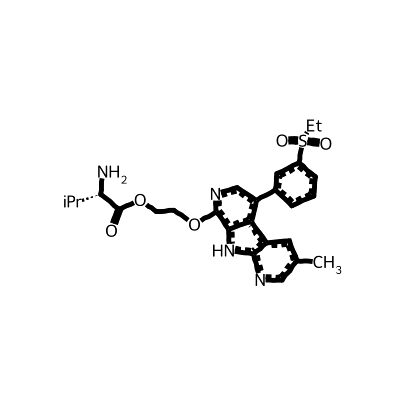 CCS(=O)(=O)c1cccc(-c2cnc(OCCOC(=O)[C@@H](N)C(C)C)c3[nH]c4ncc(C)cc4c23)c1